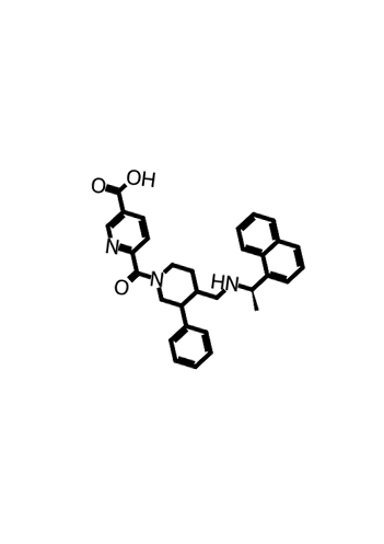 C[C@@H](NCC1CCN(C(=O)c2ccc(C(=O)O)cn2)CC1c1ccccc1)c1cccc2ccccc12